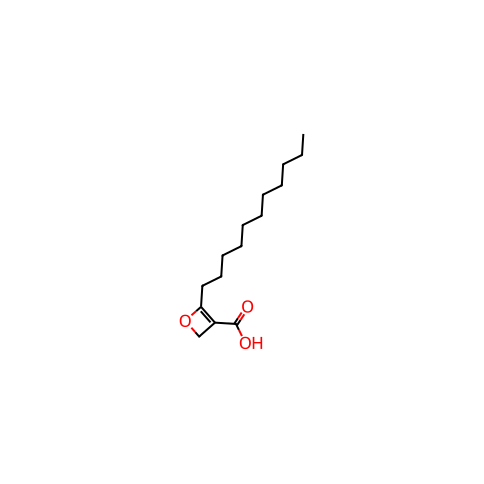 CCCCCCCCCCCC1=C(C(=O)O)CO1